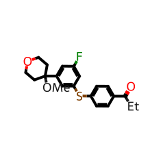 CCC(=O)c1ccc(Sc2cc(F)cc(C3(OC)CCOCC3)c2)cc1